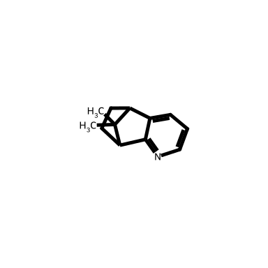 CC1(C)C2CCC1c1ncccc12